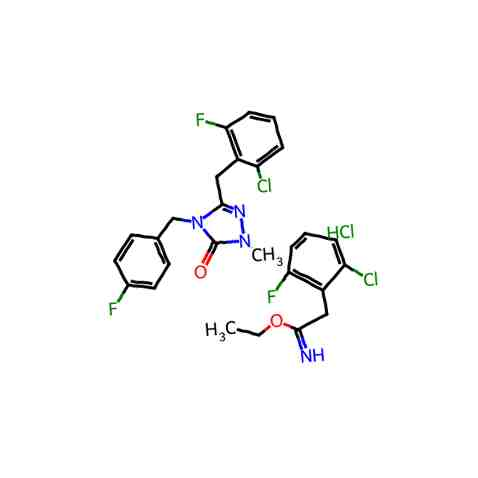 CCOC(=N)Cc1c(F)cccc1Cl.Cl.Cn1nc(Cc2c(F)cccc2Cl)n(Cc2ccc(F)cc2)c1=O